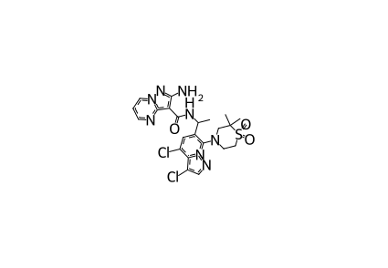 CC(NC(=O)c1c(N)nn2cccnc12)c1cc(Cl)c2c(Cl)cnn2c1N1CCS(=O)(=O)C(C)(C)C1